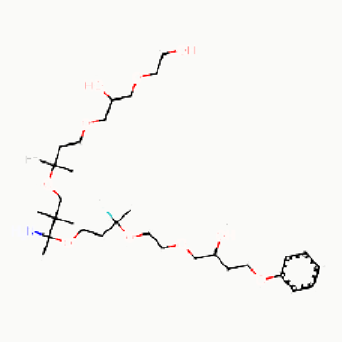 CCC(C)(CCOCC(O)COCCO)OCC(C)(C)C(C)(N)OCCC(C)(F)OCCOCC(O)CCOc1ccccc1